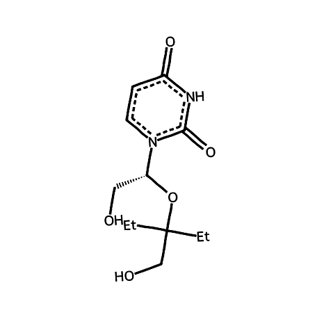 CCC(CC)(CO)O[C@H](CO)n1ccc(=O)[nH]c1=O